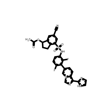 CC(=O)OC1CCc2c1cc(C#N)cc2S(=O)(=O)Nc1ccc(F)c(-c2ccc3c(-c4ncc[nH]4)ncn3c2)c1F